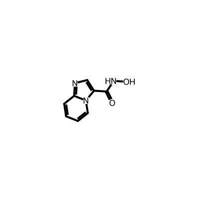 O=C(NO)c1cnc2ccccn12